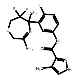 Cc1c[nH]nc1C(=O)Nc1ccc(F)c(C2(C)N=C(N)COCC2(F)F)c1